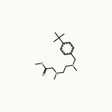 COC(=O)CN(C)CCN(C)Cc1ccc(C(C)(C)C)cc1